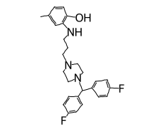 Cc1ccc(O)c(NCCCN2CCN(C(c3ccc(F)cc3)c3ccc(F)cc3)CC2)c1